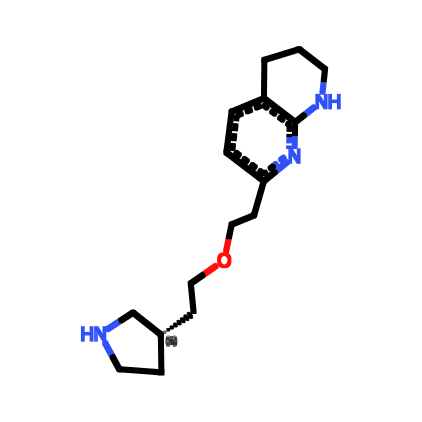 c1cc2c(nc1CCOCC[C@@H]1CCNC1)NCCC2